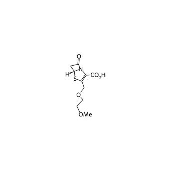 COCCOCC1=C(C(=O)O)N2C(=O)C[C@H]2S1